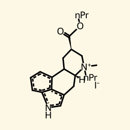 CCCOC(=O)[C@@H]1CC2c3cccc4[nH]cc(c34)C[C@H]2[N+](C)(CCC)C1.[I-]